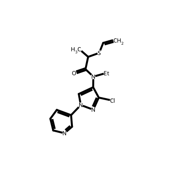 C=CSC(C)C(=O)N(CC)c1cn(-c2cccnc2)nc1Cl